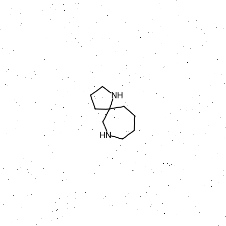 C1CCC2(CCCN2)CNC1